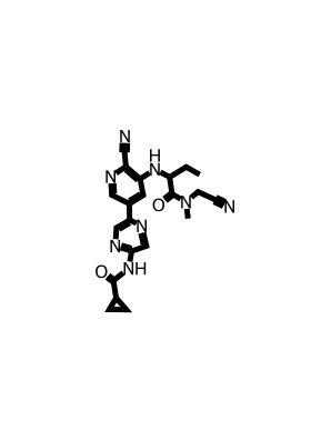 CCC(Nc1cc(-c2cnc(NC(=O)C3CC3)cn2)cnc1C#N)C(=O)N(C)CC#N